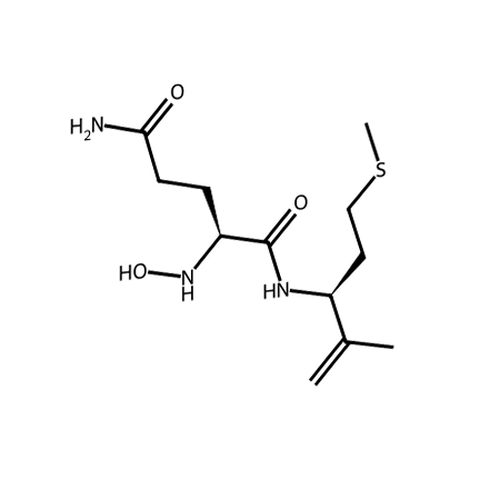 C=C(C)[C@H](CCSC)NC(=O)[C@H](CCC(N)=O)NO